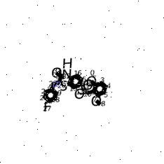 COc1cccc(OC)c1CS(=O)(=O)c1ccc2c(c1)S/C(=C\c1ccc(F)cc1)C(=O)N2